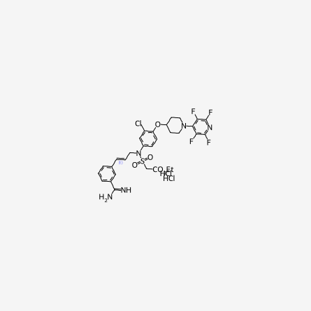 CCOC(=O)CS(=O)(=O)N(C/C=C/c1cccc(C(=N)N)c1)c1ccc(OC2CCN(c3c(F)c(F)nc(F)c3F)CC2)c(Cl)c1.Cl.Cl